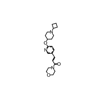 O=C(C=Cc1ccc(OC2CCN(C3CCC3)CC2)nc1)N1CCOCC1